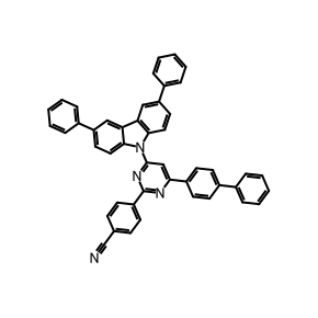 N#Cc1ccc(-c2nc(-c3ccc(-c4ccccc4)cc3)cc(-n3c4ccc(-c5ccccc5)cc4c4cc(-c5ccccc5)ccc43)n2)cc1